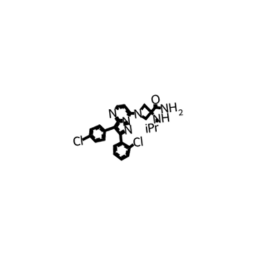 CC(C)NC1(C(N)=O)CN(c2ccnc3c(-c4ccc(Cl)cc4)c(-c4ccccc4Cl)nn23)C1